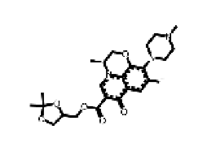 C[C@H]1COc2c(N3CCN(C)CC3)c(F)cc3c(=O)c(C(=O)OCC4COC(C)(C)O4)cn1c23